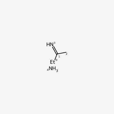 CCC(C)=N.N